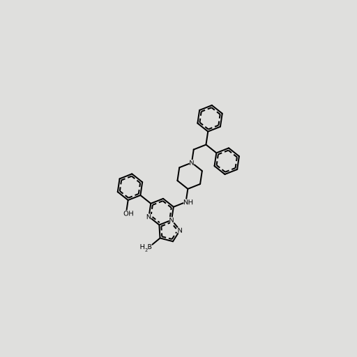 Bc1cnn2c(NC3CCN(CC(c4ccccc4)c4ccccc4)CC3)cc(-c3ccccc3O)nc12